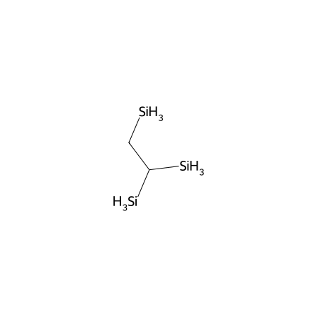 [SiH3]CC([SiH3])[SiH3]